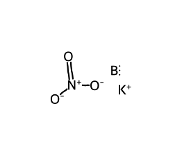 O=[N+]([O-])[O-].[B].[K+]